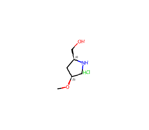 CO[C@@H]1CN[C@H](CO)C1.Cl